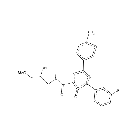 COCC(O)CNC(=O)c1cc(-c2ccc(C)cc2)nn(-c2cccc(F)c2)c1=O